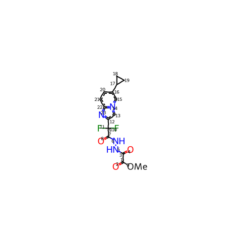 COC(=O)C(=O)NNC(=O)C(F)(F)c1cn2cc(C3CC3)ccc2n1